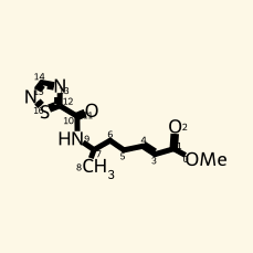 COC(=O)/C=C/CCC(C)NC(=O)c1ncns1